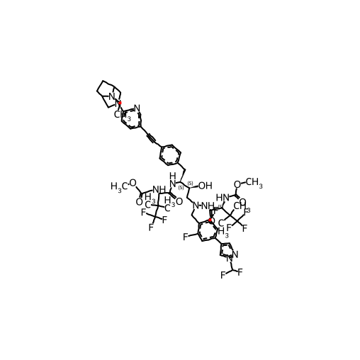 CCN1C2CCC1CN(c1ccc(C#Cc3ccc(C[C@H](NC(=O)C(NC(=O)OC)C(C)(C)C(F)(F)F)[C@@H](O)CN(Cc4c(F)cc(-c5cnn(C(F)F)c5)cc4F)NC(=O)[C@@H](NC(=O)OC)C(C)(C)C(F)(F)F)cc3)cn1)C2